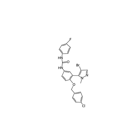 Cn1ncc(Br)c1-c1cc(NC(=O)Nc2ccc(F)cc2)ccc1OCc1ccc(Cl)cc1